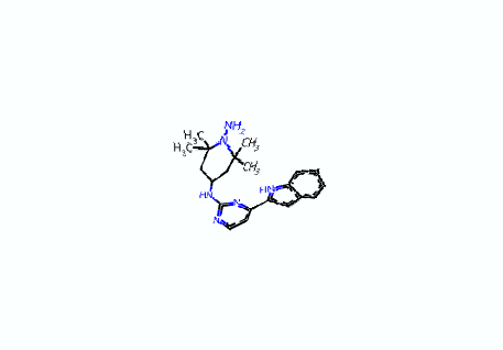 CC1(C)CC(Nc2nccc(-c3cc4ccccc4[nH]3)n2)CC(C)(C)N1N